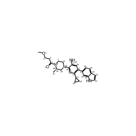 COCCC(=O)N1CCN(c2nc(C3CC3)c(-c3ccc4cc[nH]c4c3)cc2N)C[C@H]1C